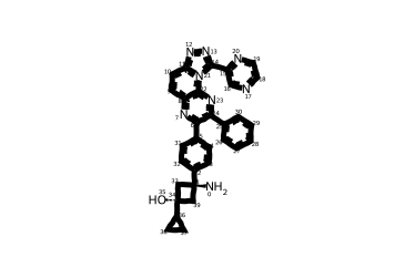 N[C@]1(c2ccc(-c3nc4ccc5nnc(-c6cnccn6)n5c4nc3-c3ccccc3)cc2)C[C@](O)(C2CC2)C1